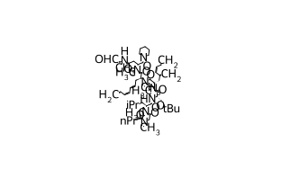 C=C/C=C\C=C\C[C@@H](C(=O)N(C)C(CC(=O)N[C@@H](C)C=O)C(=O)N1CCCCC1)N(C)C(=O)[C@H](CC(=C)/C=C\C=C)N(C)C(=O)[C@H](COC(C)(C)C)NC(=O)[C@H](CC(C)C)N(C)C(=O)CN(C)C(=O)CCC